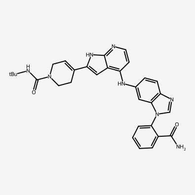 CC(C)(C)NC(=O)N1CC=C(c2cc3c(Nc4ccc5ncn(-c6ccccc6C(N)=O)c5c4)ccnc3[nH]2)CC1